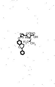 CC(C)C[C@H](NC(=O)c1cnc(Oc2ccc3c(c2)CCC(c2ccccc2)O3)s1)[C@@H](O)C(=O)O